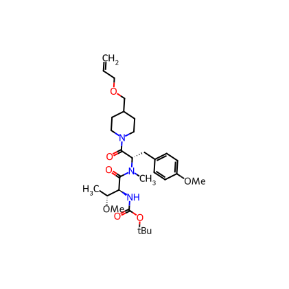 C=CCOCC1CCN(C(=O)[C@H](Cc2ccc(OC)cc2)N(C)C(=O)[C@@H](NC(=O)OC(C)(C)C)[C@@H](C)OC)CC1